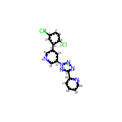 Clc1ccc(Cl)c(-c2cncc(-n3nnc(-c4ccccn4)n3)c2)c1